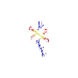 [N-]=[N+]=NS(=O)(=O)S(N)(=O)=O